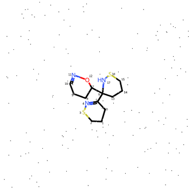 [CH]1CCSN=C1C1(C2CCC=NO2)CCCSN1